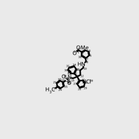 COC(=O)c1cccc(CNCCCC(CNS(=O)(=O)c2ccc(C)cc2)(c2ccccc2)c2ccccc2)c1.Cl